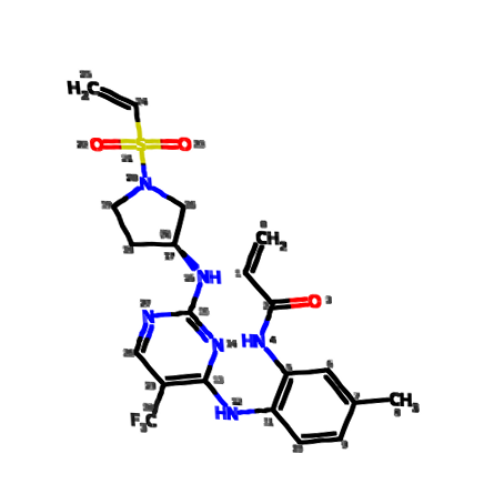 C=CC(=O)Nc1cc(C)ccc1Nc1nc(N[C@H]2CCN(S(=O)(=O)C=C)C2)ncc1C(F)(F)F